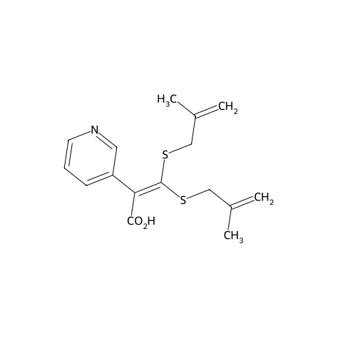 C=C(C)CSC(SCC(=C)C)=C(C(=O)O)c1cccnc1